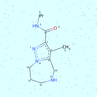 Cc1c(C(=O)NC(C)C)nn2c1CNCCC2